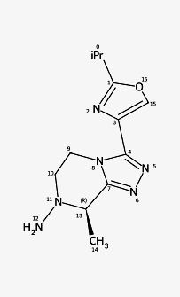 CC(C)c1nc(-c2nnc3n2CCN(N)[C@@H]3C)co1